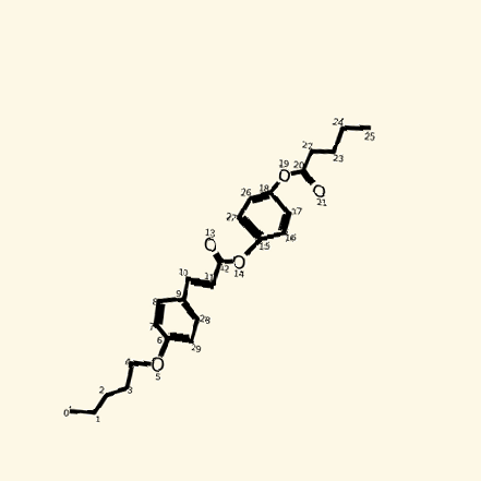 [CH2]CCCCOc1ccc(/C=C/C(=O)Oc2ccc(OC(=O)CCCC)cc2)cc1